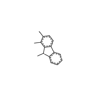 Cc1ccc2c(c1C)C(C)c1ccccc1-2